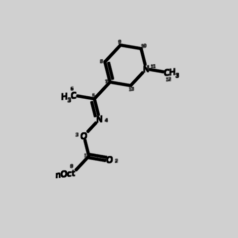 CCCCCCCCC(=O)ON=C(C)C1=CCCN(C)C1